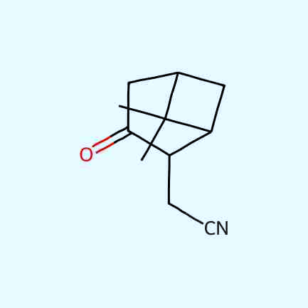 CC1(C)C2CC(=O)C(CC#N)C1C2